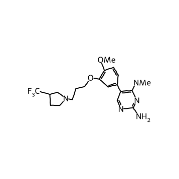 CNc1nc(N)ncc1-c1ccc(OC)c(OCCCN2CCC(C(F)(F)F)C2)c1